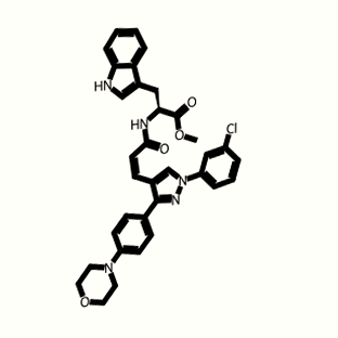 COC(=O)[C@H](Cc1c[nH]c2ccccc12)NC(=O)/C=C\c1cn(-c2cccc(Cl)c2)nc1-c1ccc(N2CCOCC2)cc1